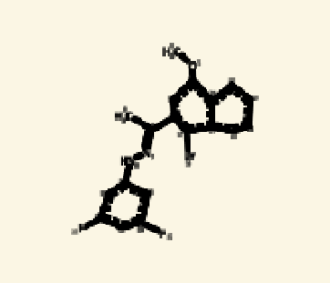 COc1cc(C(C)=NNc2cc(F)cc(F)c2)c(Br)c2ccccc12